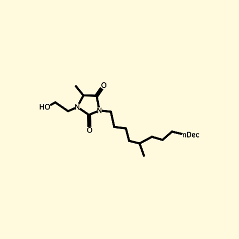 CCCCCCCCCCCCCC(C)CCCCN1C(=O)C(C)N(CCO)C1=O